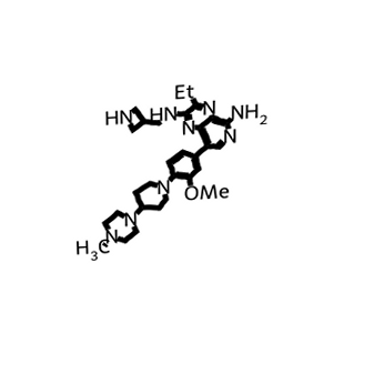 CCc1nc2c(N)ncc(-c3ccc(N4CCC(N5CCN(C)CC5)CC4)c(OC)c3)c2nc1NCC1CNC1